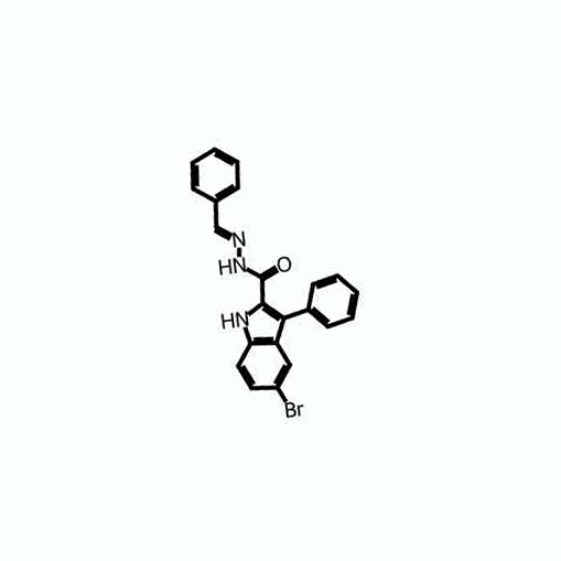 O=C(NN=Cc1ccccc1)c1[nH]c2ccc(Br)cc2c1-c1ccccc1